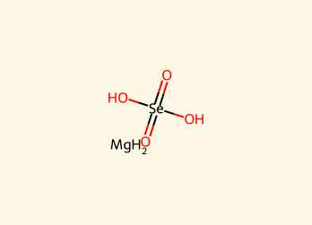 O=[Se](=O)(O)O.[MgH2]